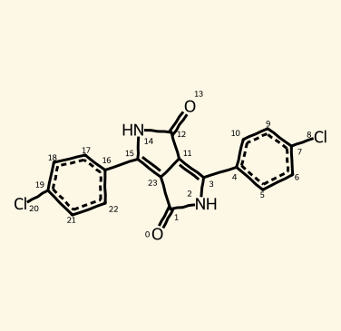 O=C1NC(c2ccc(Cl)cc2)=C2C(=O)NC(c3ccc(Cl)cc3)=C12